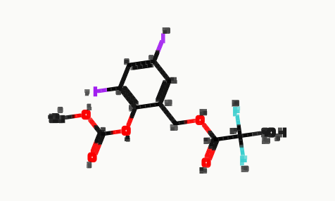 CC(C)(C)OC(=O)Oc1c(I)cc(I)cc1COC(=O)C(F)(F)S(=O)(=O)O